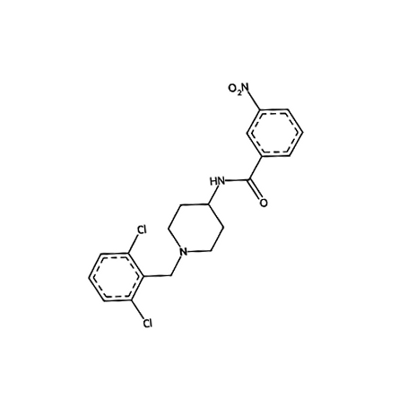 O=C(NC1CCN(Cc2c(Cl)cccc2Cl)CC1)c1cccc([N+](=O)[O-])c1